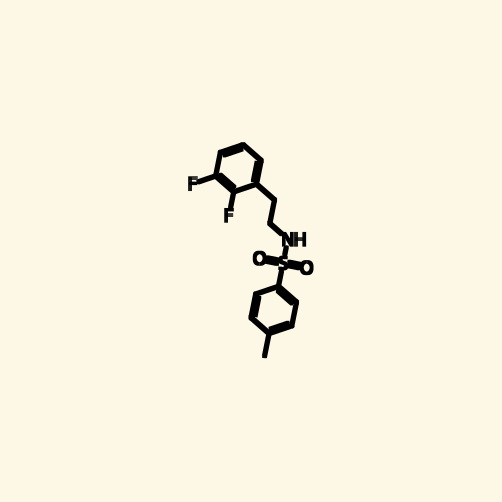 Cc1ccc(S(=O)(=O)NCCc2cccc(F)c2F)cc1